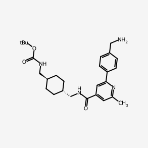 Cc1cc(C(=O)NC[C@H]2CC[C@H](CNC(=O)OC(C)(C)C)CC2)cc(-c2ccc(CN)cc2)n1